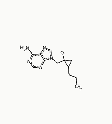 CCCC1CC1([O])Cn1cnc2c(N)ncnc21